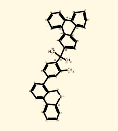 Cc1cc(-c2cccc3c2CSc2ccccc2-3)ccc1C(C)(C)c1ccc2c3ccccc3c3ccccc3c2c1